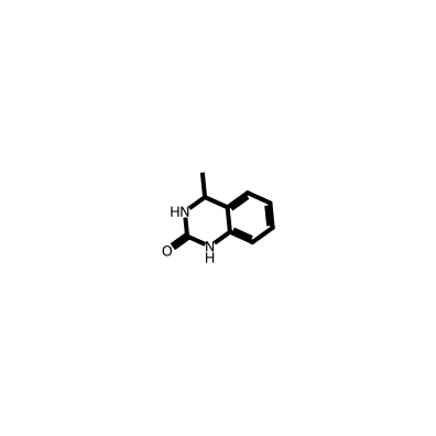 CC1NC(=O)Nc2ccccc21